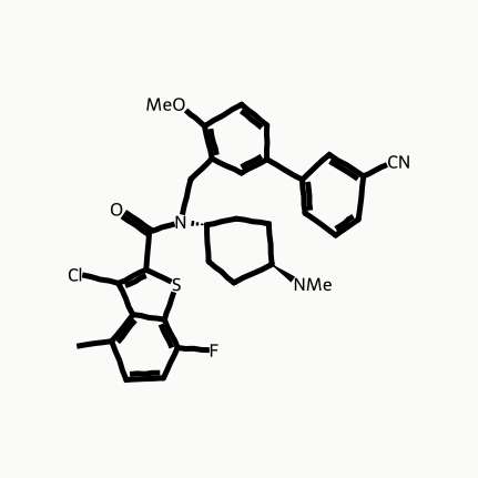 CN[C@H]1CC[C@H](N(Cc2cc(-c3cccc(C#N)c3)ccc2OC)C(=O)c2sc3c(F)ccc(C)c3c2Cl)CC1